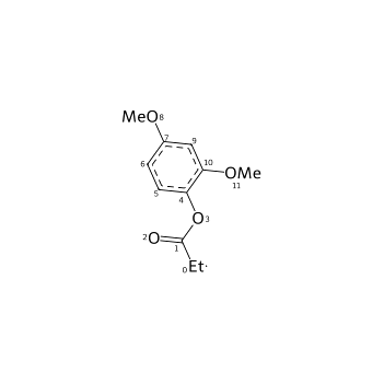 C[CH]C(=O)Oc1ccc(OC)cc1OC